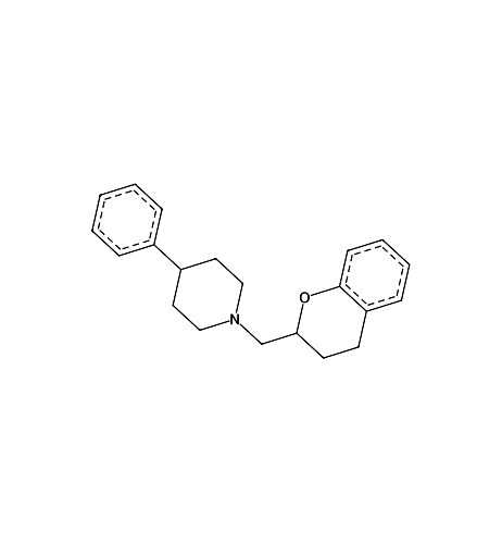 c1ccc(C2CCN(CC3CCc4ccccc4O3)CC2)cc1